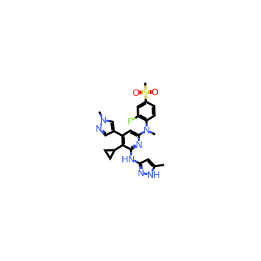 Cc1cc(Nc2nc(N(C)c3ccc(S(C)(=O)=O)cc3F)cc(-c3cnn(C)c3)c2C2CC2)n[nH]1